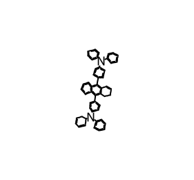 C1=CCC(N(c2ccccc2)c2ccc(-c3c4c(c(-c5ccc(N(c6ccccc6)c6ccccc6)cc5)c5ccccc35)C=CCC4)cc2)C=C1